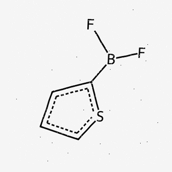 FB(F)c1cccs1